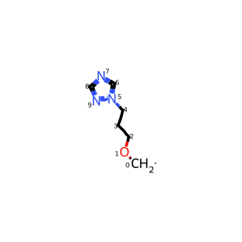 [CH2]OCCCn1cncn1